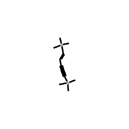 C[Si](C)(C)C#C/C=C/[Si](C)(C)C